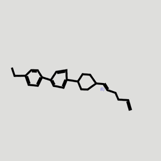 C=CCC/C=C/C1CCC(c2ccc(-c3ccc(CC)cc3)cc2)CC1